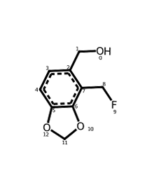 OCc1ccc2c(c1CF)OCO2